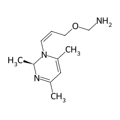 CC1=CC(C)=N[C@@H](C)N1/C=C\COCN